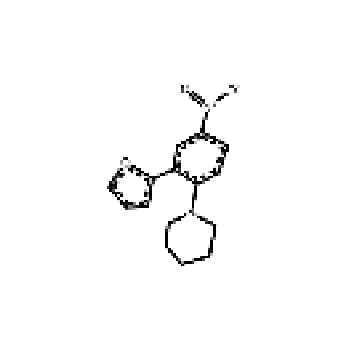 O=[N+]([O-])c1ccc(N2CCCCC2)c(-c2ccco2)c1